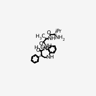 CC(C)[C@H](N)C(=O)N[C@@H](C)C(=O)N[N@+]1(C)C(=O)[C@@H](c2ccccc2)CNc2ccccc21